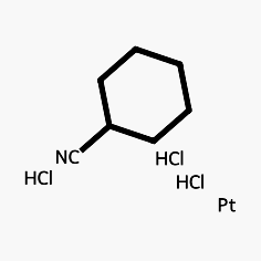 Cl.Cl.Cl.N#CC1CCCCC1.[Pt]